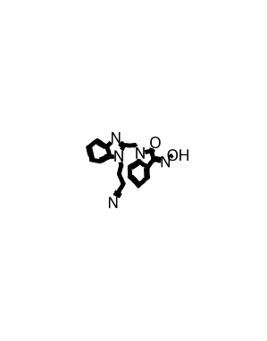 N#CCCCn1c(CN2C(=O)C(=NO)c3ccccc32)nc2ccccc21